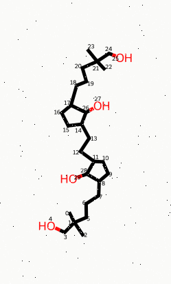 CC(C)(CO)CCCC1CCC(CCC2CCC(CCCC(C)(C)CO)C2O)C1O